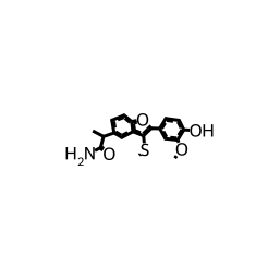 COc1cc(-c2oc3ccc(C(C)C(N)=O)cc3c2SC)ccc1O